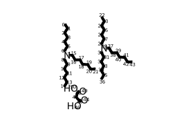 CCCCCCCN(CCCCCCC)CCCCCCC.CCCCCCCN(CCCCCCC)CCCCCCC.O=C(O)CC(=O)O